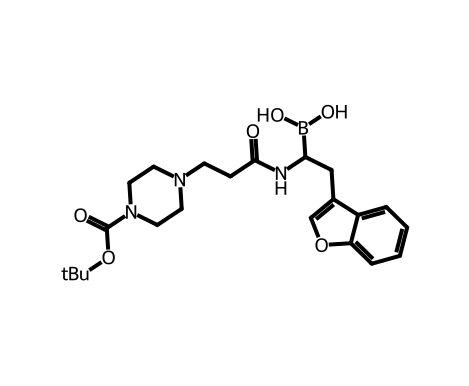 CC(C)(C)OC(=O)N1CCN(CCC(=O)NC(Cc2coc3ccccc23)B(O)O)CC1